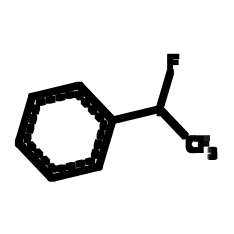 F[C](c1ccccc1)C(F)(F)F